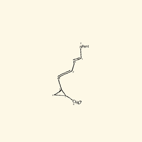 CCCCCC=CC=CC1CC1C=O